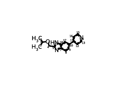 CC(C)OCc1nc2ccc(-c3ccncc3)cc2[nH]1